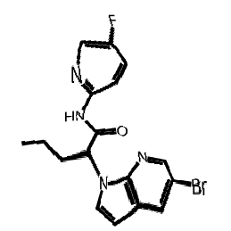 CCCC(C(=O)Nc1ccc(F)cn1)n1ccc2cc(Br)cnc21